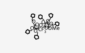 CO[C@H]1O[C@H](COC2O[C@H](COCc3ccccc3)[C@@H](OCc3ccccc3)[C@H](OCc3ccccc3)[C@@H]2C(F)(F)F)[C@@H](OCc2ccccc2)C(OCc2ccccc2)[C@H]1OCc1ccccc1